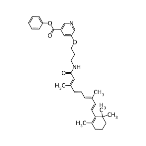 CC(C=CC1=C(C)CCCC1(C)C)=CC=CC(C)=CC(=O)NCCCOc1cncc(C(=O)Oc2ccccc2)c1